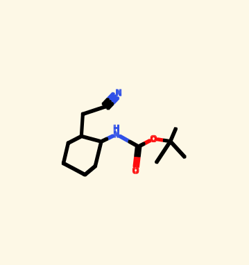 CC(C)(C)OC(=O)NC1CCCCC1CC#N